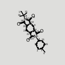 Cc1ccc(-n2c(=O)c3cc4c(=O)n(C(C)(C)C)c(=O)c4cc3c2=O)cc1